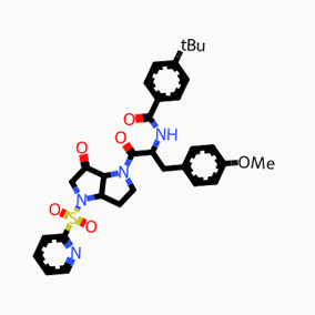 COc1ccc(CC(NC(=O)c2ccc(C(C)(C)C)cc2)C(=O)N2CCC3C2C(=O)CN3S(=O)(=O)c2ccccn2)cc1